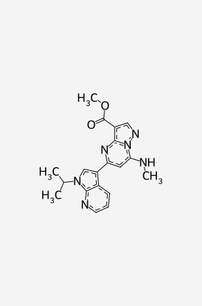 CNc1cc(-c2cn(C(C)C)c3ncccc23)nc2c(C(=O)OC)cnn12